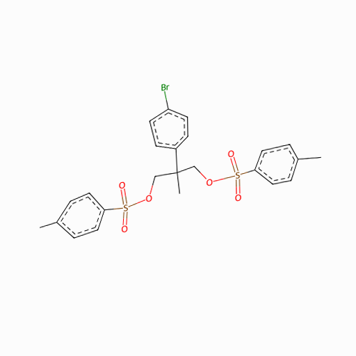 Cc1ccc(S(=O)(=O)OCC(C)(COS(=O)(=O)c2ccc(C)cc2)c2ccc(Br)cc2)cc1